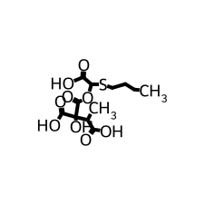 CCCCSC(OC(=O)C(O)(C(=O)O)C(C)C(=O)O)C(=O)O